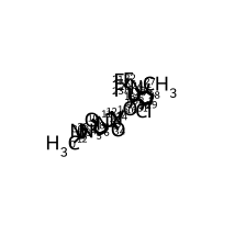 Cc1cn(-c2ccc3n(c2=O)CCN(CCOc2cc(C(F)(F)F)nc4c(C)ccc(Cl)c24)C3=O)cn1